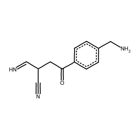 N#CC(C=N)CC(=O)c1ccc(CN)cc1